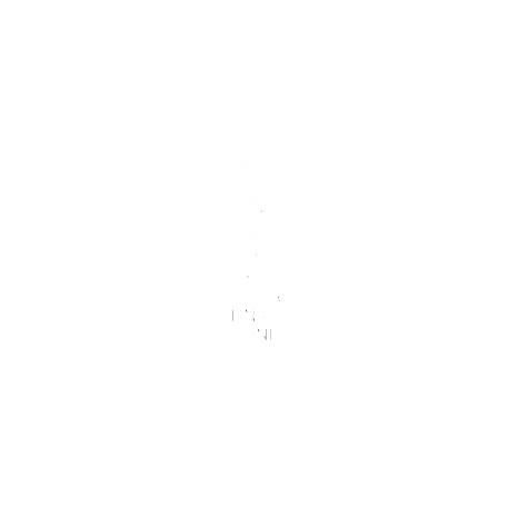 C/C=C(C)/C(C)=C(\C)SCC(=O)NN